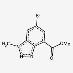 COC(=O)c1cc(Br)cc2c1nnn2C